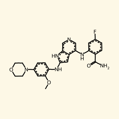 COc1cc(N2CCOCC2)ccc1Nc1cc2c(Nc3cc(F)ccc3C(N)=O)cncc2[nH]1